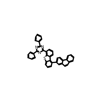 c1ccc(-c2nc(-c3ccccc3)nc(-c3cccc4c3sc3cccc(-c5ccc6c(ccc7ccccc76)c5)c34)n2)cc1